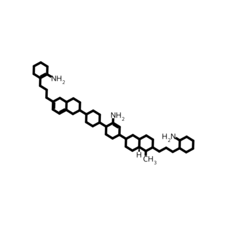 CC1C(CCCC2CCCCC2N)CCC2CC(C3C=C(N)C(C4CCC(C5CCC6CC(CCCC7=C(N)CCCC7)=CC=C6C5)CC4)CC3)CC[C@H]21